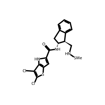 CSNC[C@@H]1c2ccccc2C[C@H]1NC(=O)c1cc2sc(Cl)c(Cl)c2[nH]1